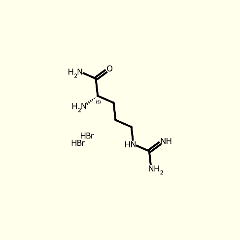 Br.Br.N=C(N)NCCC[C@H](N)C(N)=O